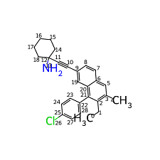 CCc1c(C)cc2ccc(C#CC3(N)CCCCC3)cc2c1-c1ccc(Cl)cc1